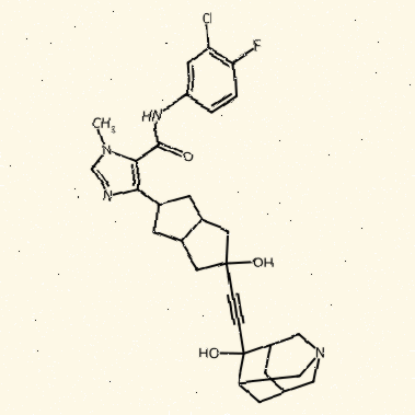 Cn1cnc(C2CC3CC(O)(C#CC4(O)C5CC6CC4CN(C6)C5)CC3C2)c1C(=O)Nc1ccc(F)c(Cl)c1